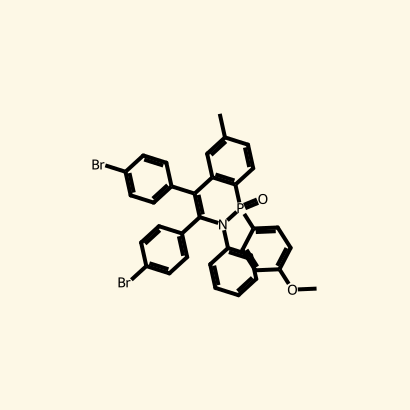 COc1ccc(P2(=O)c3ccc(C)cc3C(c3ccc(Br)cc3)=C(c3ccc(Br)cc3)N2c2ccccc2)cc1